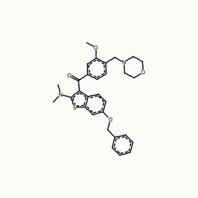 COc1cc(C(=O)c2c(N(C)C)sc3cc(OCc4ccccc4)ccc23)ccc1CN1CCOCC1